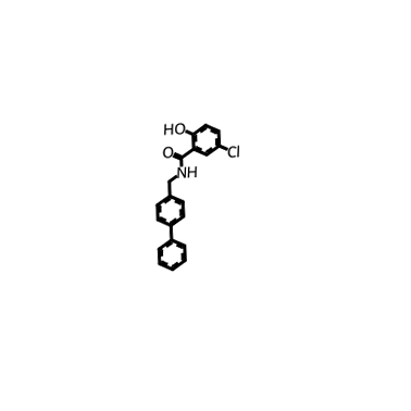 O=C(NCc1ccc(-c2ccccc2)cc1)c1cc(Cl)ccc1O